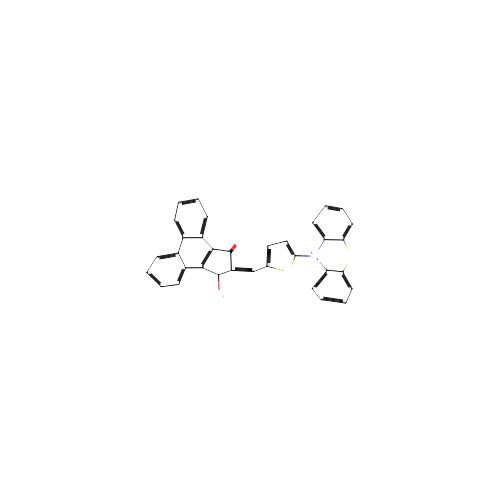 O=C1/C(=C\c2ccc(N3c4ccccc4Sc4ccccc43)s2)C(O)c2c1c1ccccc1c1ccccc21